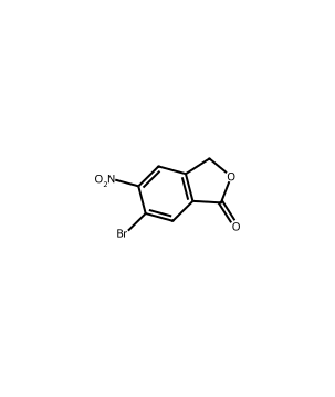 O=C1OCc2cc([N+](=O)[O-])c(Br)cc21